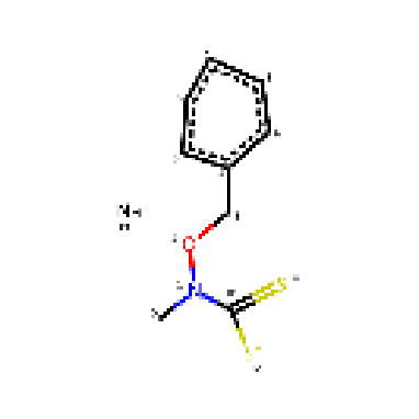 CN(OCc1ccccc1)C(=S)[S-].[Na+]